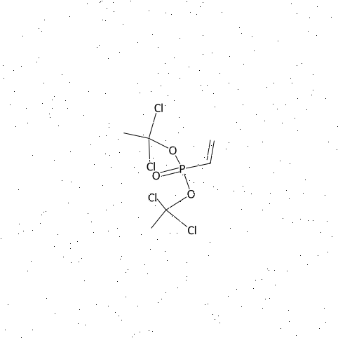 C=CP(=O)(OC(C)(Cl)Cl)OC(C)(Cl)Cl